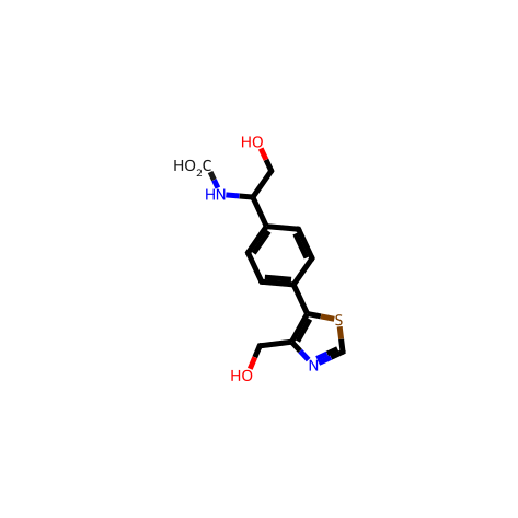 O=C(O)NC(CO)c1ccc(-c2scnc2CO)cc1